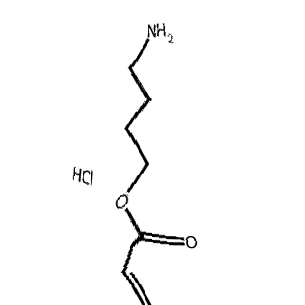 C=CC(=O)OCCCCN.Cl